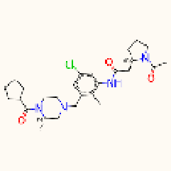 CC(=O)N1CCC[C@@H]1CC(=O)Nc1cc(Cl)cc(CN2CCN(C(=O)C3CCCC3)[C@@H](C)C2)c1C